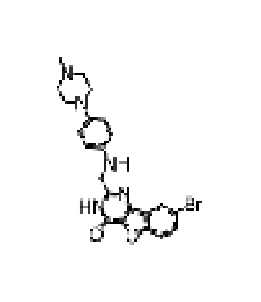 CN1CCN(c2ccc(NCc3nc4c(oc5ccc(Br)cc54)c(=O)[nH]3)cc2)CC1